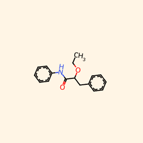 CCOC(Cc1ccccc1)C(=O)Nc1ccccc1